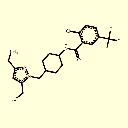 CCc1cc(CC)n(CC2CCC(NC(=O)c3cc(C(F)(F)F)ccc3Cl)CC2)n1